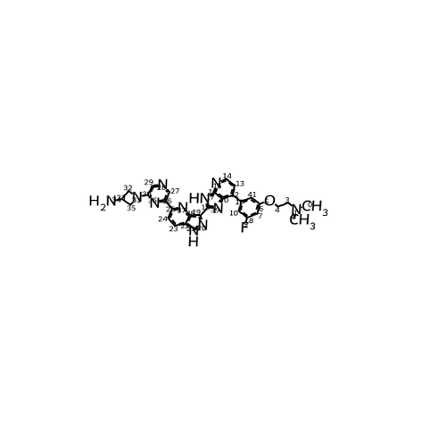 CN(C)CCOc1cc(F)cc(-c2ccnc3[nH]c(-c4n[nH]c5ccc(-c6cncc(N7CC(N)C7)n6)nc45)nc23)c1